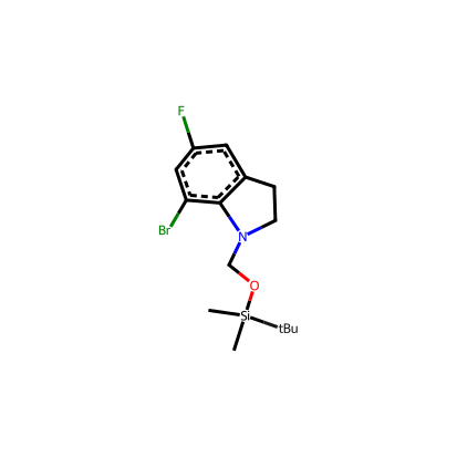 CC(C)(C)[Si](C)(C)OCN1CCc2cc(F)cc(Br)c21